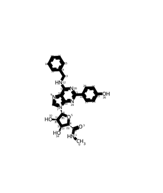 CNC(=O)[C@H]1O[C@@H](n2cnc3c(NCc4ccccc4)nc(-c4ccc(O)cc4)nc32)[C@H](O)[C@@H]1O